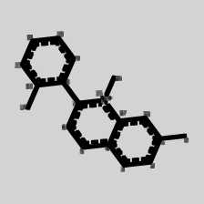 Cc1ccc2ccc(-c3ccccc3C)[n+](C)c2c1